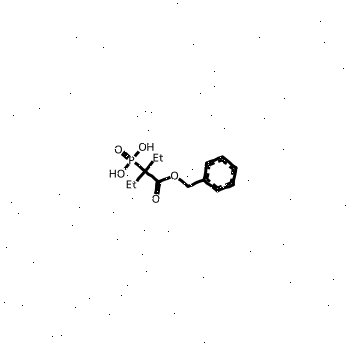 CCC(CC)(C(=O)OCc1ccccc1)P(=O)(O)O